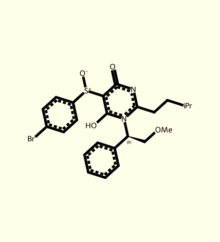 COC[C@@H](c1ccccc1)n1c(CCC(C)C)nc(=O)c([S+]([O-])c2ccc(Br)cc2)c1O